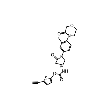 C#Cc1ccc(OC(=O)N[C@@H]2CC(=O)N(c3ccc(N4CCOCC4=O)c(C)c3)C2)s1